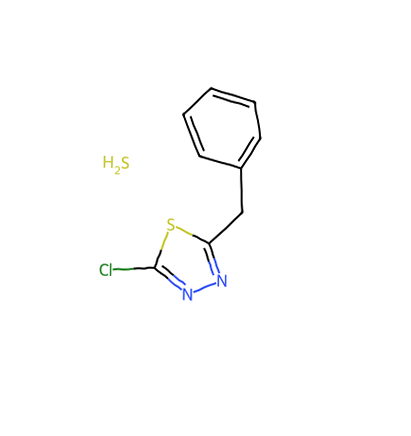 Clc1nnc(Cc2ccccc2)s1.S